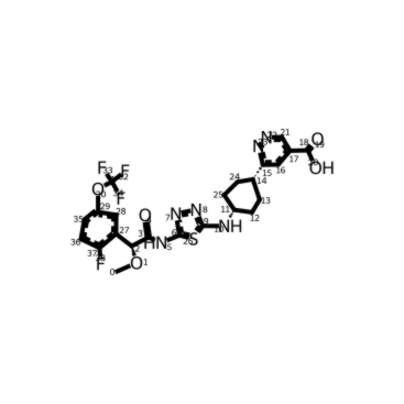 CO[C@H](C(=O)Nc1nnc(N[C@H]2CC[C@@H](c3cc(C(=O)O)cnn3)CC2)s1)c1cc(OC(F)(F)F)ccc1F